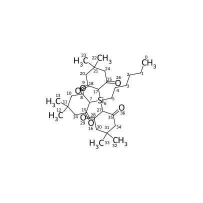 CCCCCC[Si](C1C(=O)CC(C)(C)CC1=O)(C1C(=O)CC(C)(C)CC1=O)C1C(=O)CC(C)(C)CC1=O